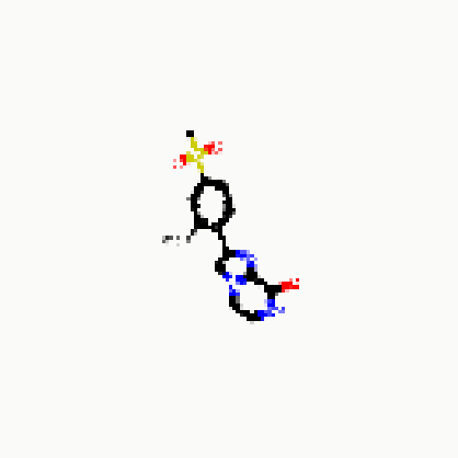 COc1cc(S(C)(=O)=O)ccc1-c1cn2cc[nH]c(=O)c2n1